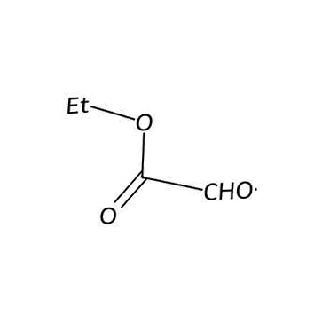 CCOC(=O)[C]=O